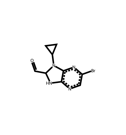 O=CC1Nc2ncc(Br)nc2N1C1CC1